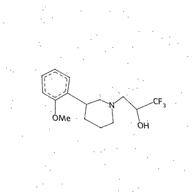 COc1ccccc1C1CCCN(CC(O)C(F)(F)F)C1